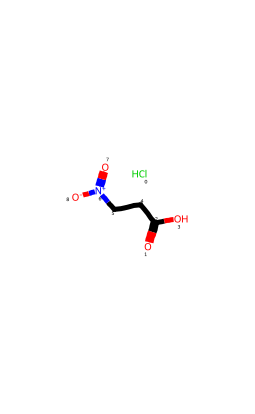 Cl.O=C(O)CC[N+](=O)[O-]